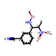 CONC(c1cccc(C#N)c1)C(C)[N+](=O)[O-]